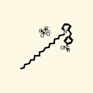 CCCCCCCCCCCCCCCCCC[n+]1ccccc1Cc1ccc([N+](=O)[O-])cc1.[O-][Cl+3]([O-])([O-])[O-]